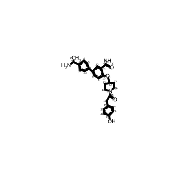 CC(N)c1ccc(-c2ccc(OC3CCN(C(=O)Cc4ccc(O)cc4)CC3)c(C(N)=O)c2)cc1